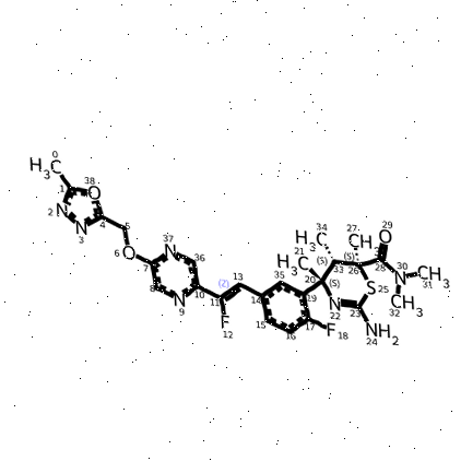 Cc1nnc(COc2cnc(/C(F)=C/c3ccc(F)c([C@@]4(C)N=C(N)S[C@](C)(C(=O)N(C)C)[C@H]4C)c3)cn2)o1